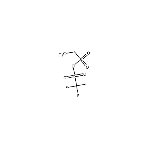 CCS(=O)(=O)OS(=O)(=O)C(F)(F)F